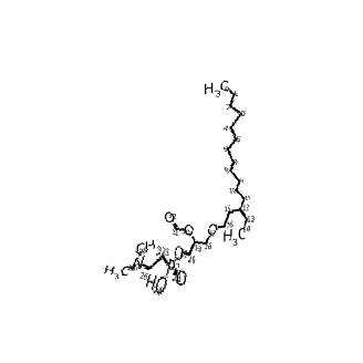 CCCCCCCCCCCCC(CC)CCOCC(COP(=O)(O)CCN(C)C)OC=O